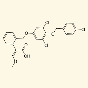 COC=C(C(=O)O)c1ccccc1COc1cc(Cl)c(OCc2ccc(Cl)cc2)c(Cl)c1